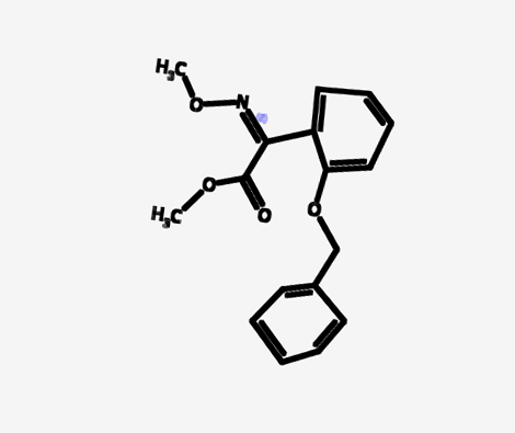 CO/N=C(\C(=O)OC)c1ccccc1OCc1ccccc1